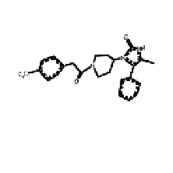 Cc1[nH]c(=O)n(C2CCN(C(=O)Cc3ccc(C(F)(F)F)cc3)CC2)c1-c1ccccc1